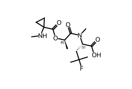 CNC1(C(=O)O[C@H](C)C(=O)N(C)[C@@H](CC(C)(C)F)C(=O)O)CC1